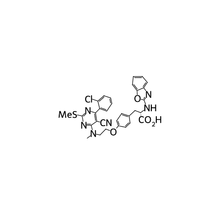 CSc1nc(-c2ccccc2Cl)c(C#N)c(N(C)CCOc2ccc(C[C@H](Nc3nc4ccccc4o3)C(=O)O)cc2)n1